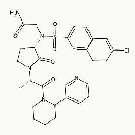 C[C@@H](C(=O)N1CCCCC1c1cccnc1)N1CC[C@H](N(CC(N)=O)S(=O)(=O)c2ccc3cc(Cl)ccc3c2)C1=O